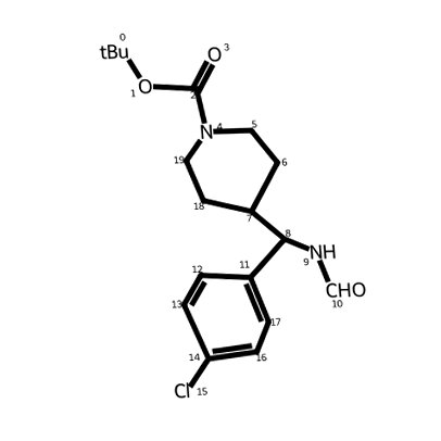 CC(C)(C)OC(=O)N1CCC(C(NC=O)c2ccc(Cl)cc2)CC1